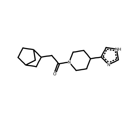 O=C(CC1CC2CCC1C2)N1CCC(c2c[nH]cn2)CC1